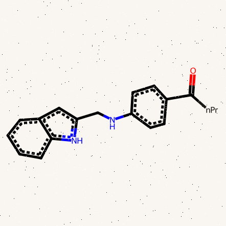 CCCC(=O)c1ccc(NCc2cc3ccccc3[nH]2)cc1